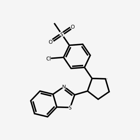 CS(=O)(=O)c1ccc(C2[CH]CCC2c2nc3ccccc3s2)cc1Cl